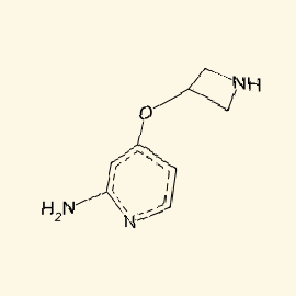 Nc1cc(OC2CNC2)ccn1